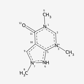 Cn1c[n+](C)c2[nH][n+](C)cc2c1=O